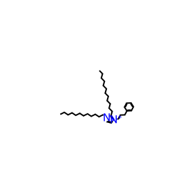 CCCCCCCCCCCCc1n(CCCCCCCCCCCC)cc[n+]1CCCc1ccccc1